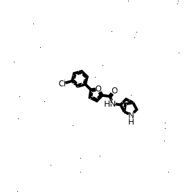 O=C(NC1CC2CNC1C2)c1ccc(-c2cccc(Cl)c2)o1